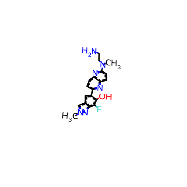 CN(CCN)c1ccc2nc(-c3cc4cn(C)nc4c(F)c3O)ccc2n1